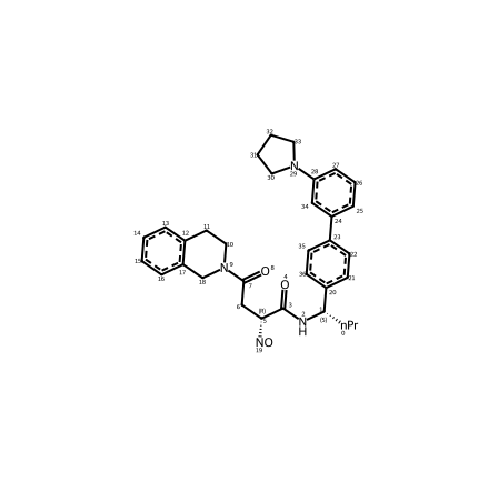 CCC[C@H](NC(=O)[C@@H](CC(=O)N1CCc2ccccc2C1)N=O)c1ccc(-c2cccc(N3CCCC3)c2)cc1